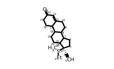 C#C[C@@]1(SCC)CCC2C3CCC4=CC(=O)CCC4C3CC[C@@]21C